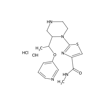 CNC(=O)c1csc(N2CCNCC2C(C)Oc2cccnc2)n1.Cl.Cl